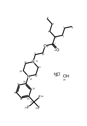 CCCC(CCC)C(=O)OCCN1CCN(c2cccc(C(F)(F)F)c2)CC1.Cl.Cl